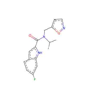 CC(C)N(Cc1ccno1)C(=O)c1cc2ccc(F)cc2[nH]1